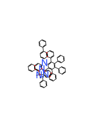 CC1(C)c2ccccc2-c2c(N(c3ccc(-c4ccccc4)cc3)c3c(-c4ccccc4)c(-c4ccccc4)c(-c4ccccc4)c(-c4ccccc4)c3-c3nc(-c4ccccc4)nc(-c4ccccc4)n3)cccc21